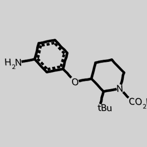 CC(C)(C)C1C(Oc2cccc(N)c2)CCCN1C(=O)O